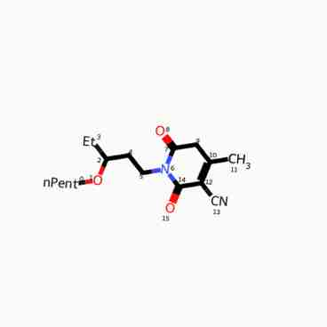 CCCCCOC(CC)CCN1C(=O)CC(C)=C(C#N)C1=O